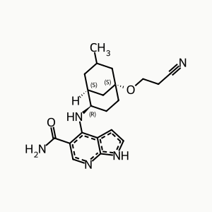 CC1C[C@H]2C[C@](OCCC#N)(CC[C@H]2Nc2c(C(N)=O)cnc3[nH]ccc23)C1